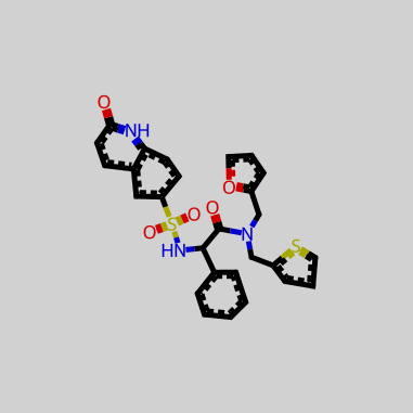 O=C(C(NS(=O)(=O)c1ccc2[nH]c(=O)ccc2c1)c1ccccc1)N(Cc1ccco1)Cc1cccs1